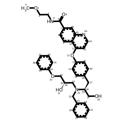 COCCNC(=O)c1ccc2c(Oc3ccc(C[C@@H](CO)N(Cc4ccccc4)C[C@H](O)COc4ccccc4)cc3)ccnc2c1